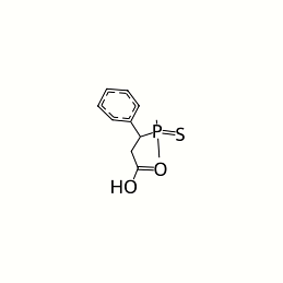 CP(C)(=S)C(CC(=O)O)c1ccccc1